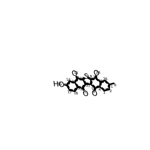 Cc1ccc2c(=O)c3c(sc4c(=O)c5cc(O)ccc5c(=O)c43)c(=O)c2c1